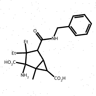 CCC1(CC)C(C(=O)NCc2ccccc2)C2C(C(=O)O)C2(C)C1(N)C(=O)O